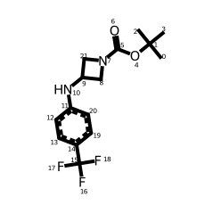 CC(C)(C)OC(=O)N1CC(Nc2ccc(C(F)(F)F)cc2)C1